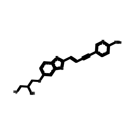 CNc1ccc(C#C/C=C/c2nc3ccc(OCC(O)C[18F])cc3s2)cn1